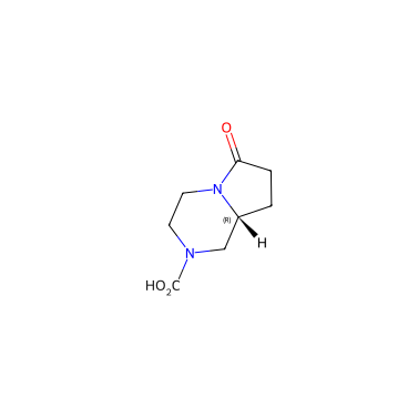 O=C(O)N1CCN2C(=O)CC[C@@H]2C1